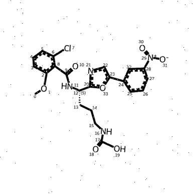 COc1cccc(Cl)c1C(=O)N[C@@H](CCCNC(=O)O)c1ncc(-c2cccc([N+](=O)[O-])c2)o1